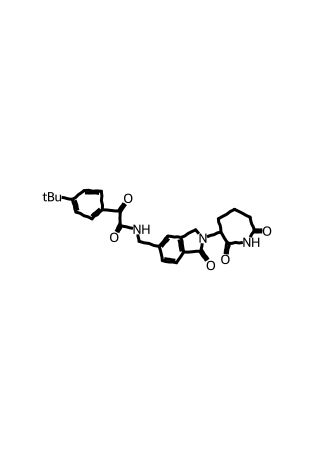 CC(C)(C)c1ccc(C(=O)C(=O)NCc2ccc3c(c2)CN(C2CCCC(=O)NC2=O)C3=O)cc1